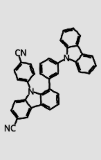 N#Cc1ccc(-n2c3ccc(C#N)cc3c3cccc(-c4cccc(-n5c6ccccc6c6ccccc65)c4)c32)cc1